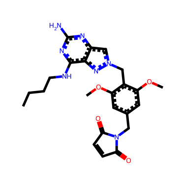 CCCCNc1nc(N)nc2cn(Cc3c(OC)cc(CN4C(=O)C=CC4=O)cc3OC)nc12